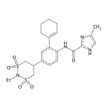 CCN1S(=O)(=O)CC(c2ccc(NC(=O)c3nc(C)c[nH]3)c(C3=CCCCC3)c2)CS1(=O)=O